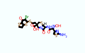 Nc1nc(C(=NO)C(=O)NC2C(=O)N3CC(C=CSc4sc5ccsc5c(=O)c4Br)(C(=O)O)CS[C@H]23)cs1